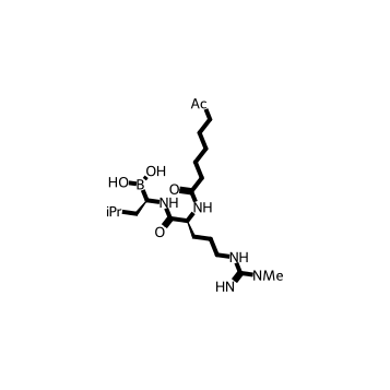 CNC(=N)NCCC[C@H](NC(=O)CCCCCC(C)=O)C(=O)N[C@@H](CC(C)C)B(O)O